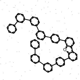 c1ccc(-c2cccc(-c3cccc(-c4ccc(-c5cccc6c5oc5c(-c7ccc(-c8cccc(-c9cccc(-c%10cccc(-c%11ccccc%11)c%10)c9)c8)cc7)cccc56)cc4)c3)c2)cc1